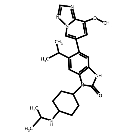 COc1cc(-c2cc3[nH]c(=O)n(C4CCC(NC(C)C)CC4)c3cc2C(C)C)cn2ncnc12